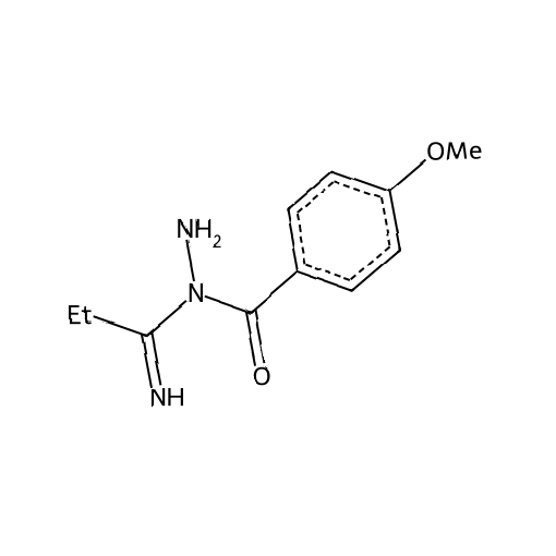 CCC(=N)N(N)C(=O)c1ccc(OC)cc1